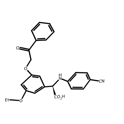 CCOc1cc(OCC(=O)c2ccccc2)cc([C@@H](Nc2ccc(C#N)cc2)C(=O)O)c1